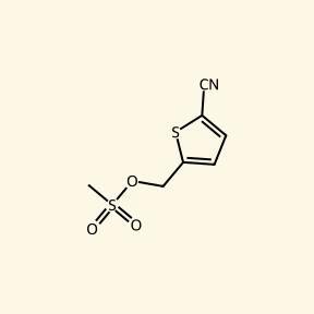 CS(=O)(=O)OCc1ccc(C#N)s1